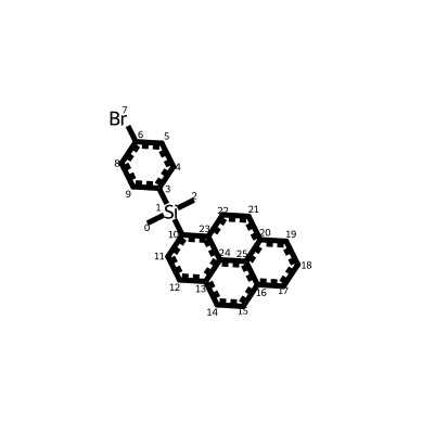 C[Si](C)(c1ccc(Br)cc1)c1ccc2ccc3cccc4ccc1c2c34